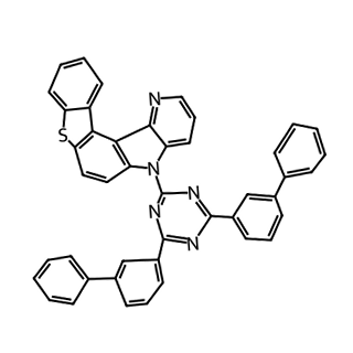 c1ccc(-c2cccc(-c3nc(-c4cccc(-c5ccccc5)c4)nc(-n4c5cccnc5c5c6c(ccc54)sc4ccccc46)n3)c2)cc1